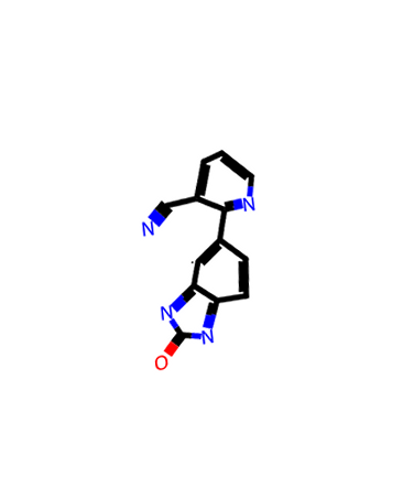 N#Cc1cccnc1-c1[c]c2c(cc1)=NC(=O)N=2